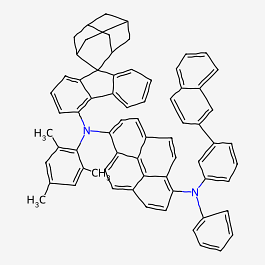 Cc1cc(C)c(N(c2cccc3c2-c2ccccc2C32C3CC4CC(C3)CC2C4)c2ccc3ccc4c(N(c5ccccc5)c5cccc(-c6ccc7ccccc7c6)c5)ccc5ccc2c3c54)c(C)c1